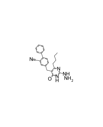 CCCCc1nc(NN)[nH]c(=O)c1Cc1ccc(-c2ccccc2)c(C#N)c1